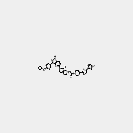 Cn1cnc(-c2cnc(C3=CCN(C(=O)CN4CC[C@]5(CCN(c6ccc7[nH]nc(-c8ccc(OC9CCC9)nc8)c7n6)C5=O)C4)CC3)s2)n1